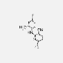 Cc1cc(F)ccc1Nc1nc(C2CC2)ccc1C#N